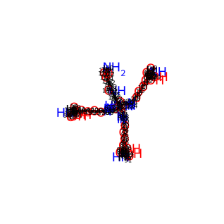 CC(=O)N[C@H]1[C@@H]2OC[C@](COCCOCCOCCOCCn3cc(COCC(COCc4cn(CCOCCOCCOCCOC[C@@]56CO[C@H](O5)[C@H](NC(C)=O)[C@@H](O)[C@H]6O)nn4)(COCc4cn(CCOCCOCCOCCOC[C@@]56CO[C@@H](O5)[C@H](NC(C)=O)[C@@H](O)[C@H]6O)nn4)NC(=O)CCCCCNC(=O)CCCCCOC4OCC(N)CO4)nn3)(O2)[C@H](O)[C@@H]1O